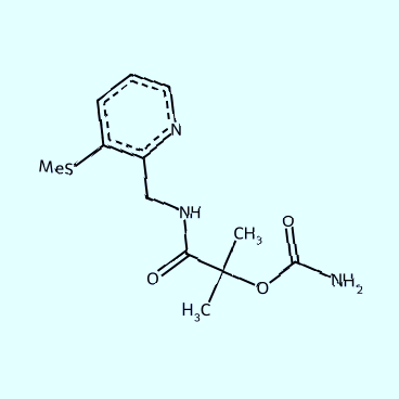 CSc1cccnc1CNC(=O)C(C)(C)OC(N)=O